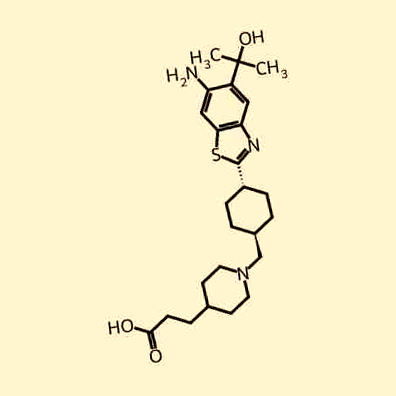 CC(C)(O)c1cc2nc([C@H]3CC[C@H](CN4CCC(CCC(=O)O)CC4)CC3)sc2cc1N